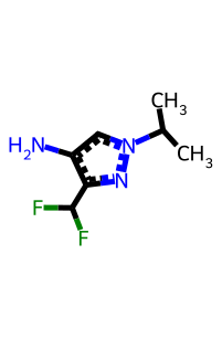 CC(C)n1cc(N)c(C(F)F)n1